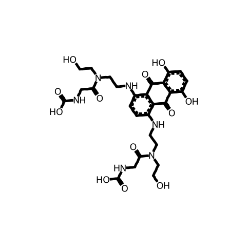 O=C(O)NCC(=O)N(CCO)CCNc1ccc(NCCN(CCO)C(=O)CNC(=O)O)c2c1C(=O)c1c(O)ccc(O)c1C2=O